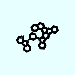 c1cc(-n2c3ccccc3c3cccnc32)cc(-n2c3ccccc3c3cc4c5ccccc5n5c6ccc7ccccc7c6c(c32)c45)c1